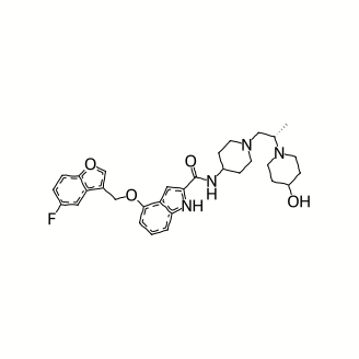 C[C@@H](CN1CCC(NC(=O)c2cc3c(OCc4coc5ccc(F)cc45)cccc3[nH]2)CC1)N1CCC(O)CC1